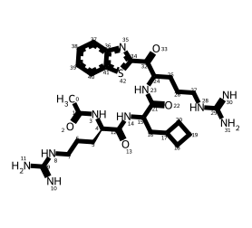 CC(=O)N[C@H](CCCNC(=N)N)C(=O)NC(CC1CCC1)C(=O)NC(CCCNC(=N)N)C(=O)c1nc2ccccc2s1